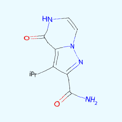 CC(C)c1c(C(N)=O)nn2cc[nH]c(=O)c12